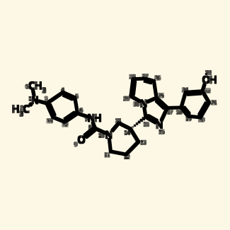 CN(C)c1ccc(NC(=O)N2CCC[C@@H](c3nc(-c4cccc(O)c4)c4ccccn34)C2)cc1